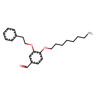 CCCCCCCCOc1ccc(C=O)cc1OCCc1ccccc1